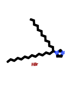 Br.CCCCCCCCCCCCCC(CCCCCCCCCCCC)n1ccnc1